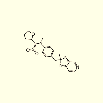 CN(C(C1CCCO1)=S(=O)=O)c1ccc(CC2(C)N=c3ccncc3=N2)cc1